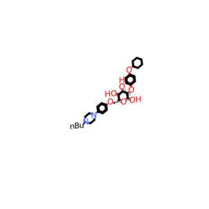 CCCCN1CCN(c2ccc(OC[C@H]3O[C@H](O)[C@H](Oc4ccc(OC5CCCCC5)cc4)[C@@H](O)[C@@H]3O)cc2)CC1